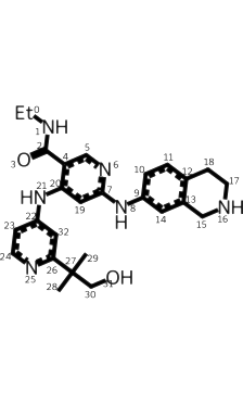 CCNC(=O)c1cnc(Nc2ccc3c(c2)CNCC3)cc1Nc1ccnc(C(C)(C)CO)c1